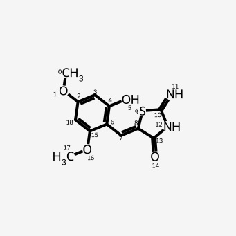 COc1cc(O)c(C=C2SC(=N)NC2=O)c(OC)c1